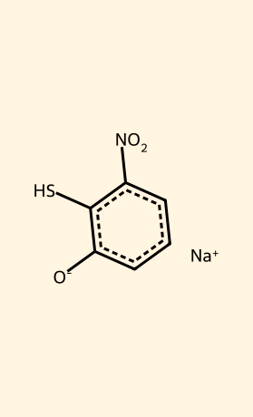 O=[N+]([O-])c1cccc([O-])c1S.[Na+]